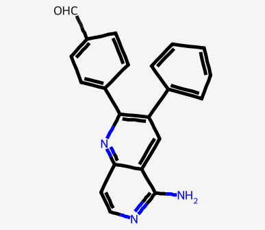 Nc1nccc2nc(-c3ccc(C=O)cc3)c(-c3ccccc3)cc12